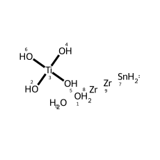 O.O.[OH][Ti]([OH])([OH])[OH].[SnH2].[Zr].[Zr]